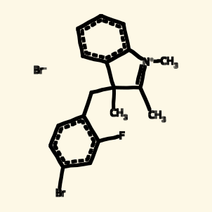 CC1=[N+](C)c2ccccc2C1(C)Cc1ccc(Br)cc1F.[Br-]